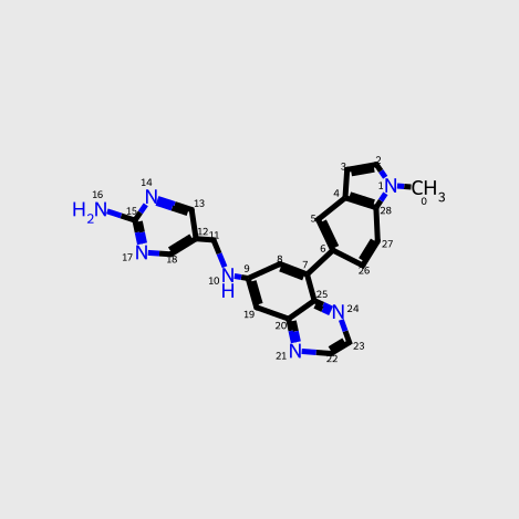 Cn1ccc2cc(-c3cc(NCc4cnc(N)nc4)cc4nccnc34)ccc21